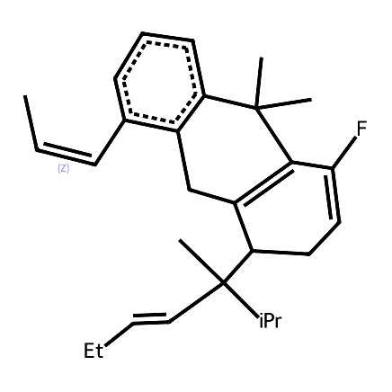 C/C=C\c1cccc2c1CC1=C(C(F)=CCC1C(C)(C=CCC)C(C)C)C2(C)C